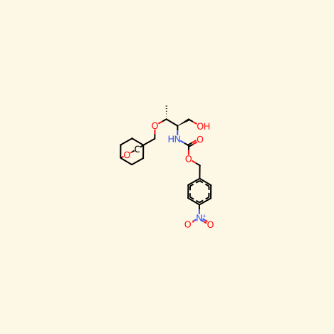 C[C@@H](OCC12CCC(CC1)OC2)[C@@H](CO)NC(=O)OCc1ccc([N+](=O)[O-])cc1